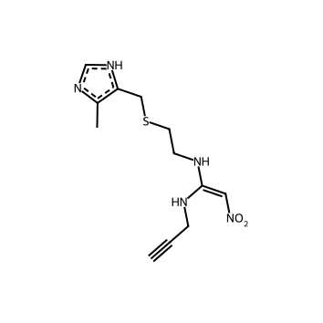 C#CCNC(=C[N+](=O)[O-])NCCSCc1[nH]cnc1C